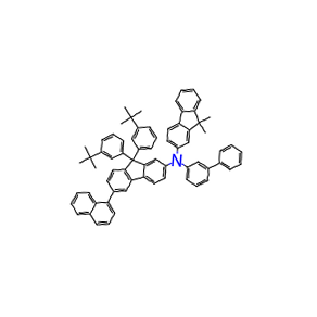 CC(C)(C)c1cccc(C2(c3cccc(C(C)(C)C)c3)c3ccc(-c4cccc5ccccc45)cc3-c3ccc(N(c4cccc(-c5ccccc5)c4)c4ccc5c(c4)C(C)(C)c4ccccc4-5)cc32)c1